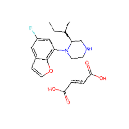 CCC(C)[C@H]1CNCCN1c1cc(F)cc2ccoc12.O=C(O)/C=C/C(=O)O